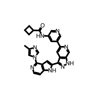 Cc1cn(-c2nccc3[nH]c(-c4n[nH]c5cnc(-c6cncc(NC(=O)C7CCC7)c6)cc45)cc23)cn1